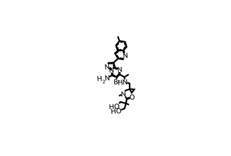 Cc1ccc2ncc(-c3cnn4c(N)c(Br)c(C(C)NCC5(CN(C)C(=O)C(C)(CO)CO)CC5)nc34)cc2c1